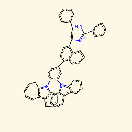 N/C(=N\C(=C/Cc1ccccc1)c1ccc(-c2ccc(-n3c4c(c5ccccc53)C=CC=CC4)c(-n3c4ccccc4c4ccccc43)c2)c2ccccc12)c1ccccc1